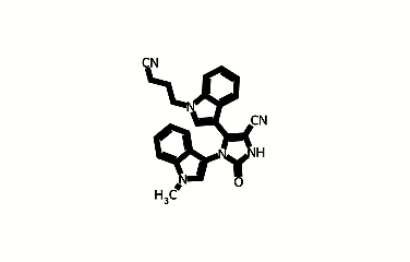 Cn1cc(-n2c(-c3cn(CCCC#N)c4ccccc34)c(C#N)[nH]c2=O)c2ccccc21